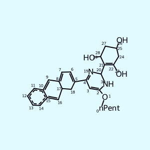 CCCCCOC1=CC(C2=CC=C3C=c4ccccc4=CC3C2)=NC(C2=C(O)CC(O)CC2O)N1